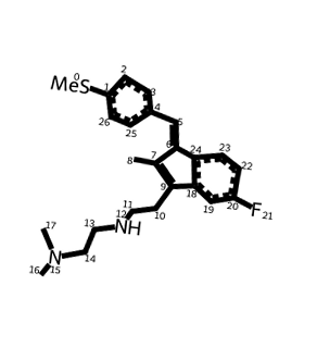 CSc1ccc(C=C2C(C)=C(CCNCCN(C)C)c3cc(F)ccc32)cc1